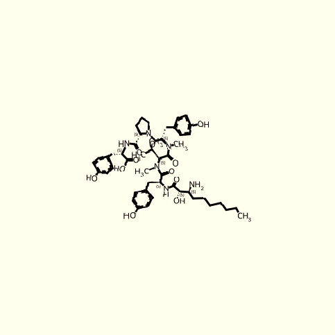 CCCCCCC[C@H](N)[C@H](O)C(=O)N[C@@H](Cc1ccc(O)cc1)C(=O)N(C)[C@H](C(=O)N(C)[C@@H](Cc1ccc(O)cc1)C(=O)N1CCC[C@H]1C(=O)N[C@@H](Cc1ccc(O)cc1)C(=O)O)C(C)C